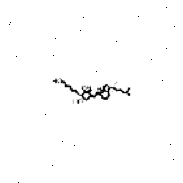 C=C1/C(=C\C=C2/CCC[C@]3(C)[C@@H]([C@H](C)CCCC(C)C)CC[C@@H]23)C[C@@H](O)[C@@H](CCCCCCO)[C@@H]1O